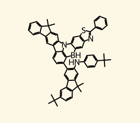 CC(C)(C)c1ccc(Nc2cc3c(cc2-c2ccc4c5cc6c(cc5n5c4c2Bc2cc4nc(-c7ccccc7)sc4cc2-5)C(C)(C)c2ccccc2-6)-c2cc(C(C)(C)C)ccc2C3(C)C)cc1